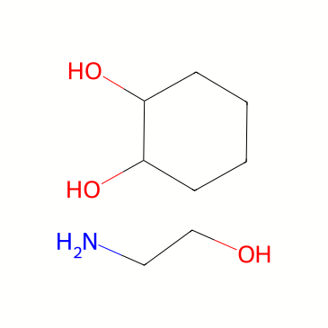 NCCO.OC1CCCCC1O